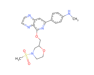 CNc1ccc(-c2cc3nccnc3c(OCC3CN(S(C)(=O)=O)CCO3)n2)cc1